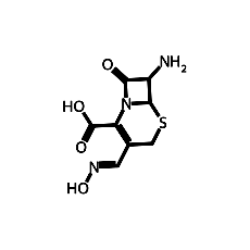 NC1C(=O)N2C(C(=O)O)=C(C=NO)CSC12